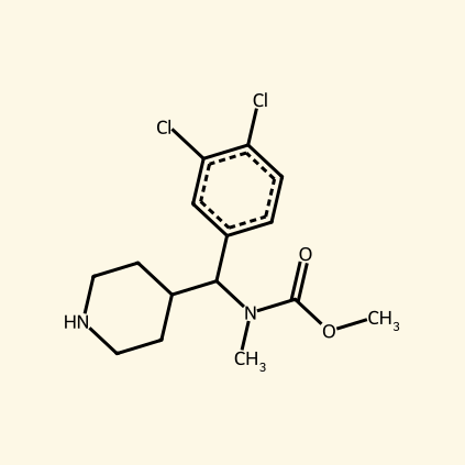 COC(=O)N(C)C(c1ccc(Cl)c(Cl)c1)C1CCNCC1